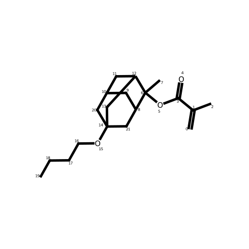 C=C(C)C(=O)OC1(C)C2CC3CC1CC(OCCCC)(C3)C2